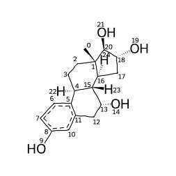 C[C@]12CC[C@@H]3c4ccc(O)cc4C[C@@H](O)[C@H]3[C@@H]1C[C@@H](O)[C@@H]2O